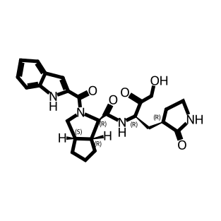 O=C1NCC[C@@H]1C[C@@H](NC(=O)[C@H]1[C@@H]2CCC[C@@H]2CN1C(=O)c1cc2ccccc2[nH]1)C(=O)CO